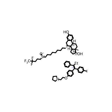 CC/C(=C(\c1ccc(I)cc1)c1ccc(OCCN2CCCC2)cc1)c1ccccc1.C[C@]12CC[C@@H]3c4ccc(O)cc4C[C@@H](CCCCCCCCC[S+]([O-])CCCC(F)(F)C(F)(F)F)[C@H]3[C@@H]1CC[C@@H]2O